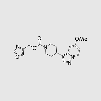 COc1ccn2ncc(C3CCN(C(=O)OCc4cocn4)CC3)c2c1